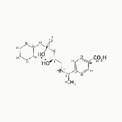 CC(NC[C@@H](O)CP(=O)(O)CC1CCCCC1)c1ccc(C(=O)O)cc1